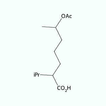 CC(=O)OC(C)CCCC(C(=O)O)C(C)C